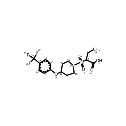 CCC(C(=O)O)S(=O)(=O)N1CCC(Oc2ccc(C(F)(F)F)cc2)CC1